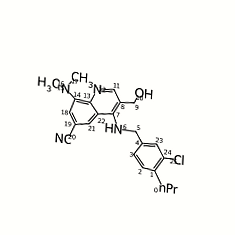 CCCc1ccc(CNc2c(CO)cnc3c(N(C)C)cc(C#N)cc23)cc1Cl